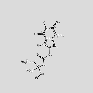 Cn1c(=O)c2c(nc(OC(=O)CC(CC(=O)O)(OO)C(=O)O)n2C)n(C)c1=O